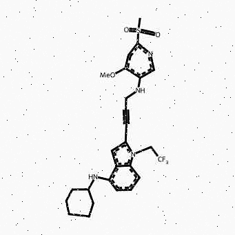 COc1cc(S(C)(=O)=O)ncc1NCC#Cc1cc2c(NC3CCCCC3)cccc2n1CC(F)(F)F